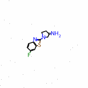 N[C@@H]1CCN(c2nc3ccc(F)cc3s2)C1